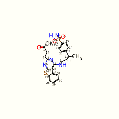 COC(=O)CCc1nc(NCCC(C)c2ccc(S(N)(=O)=O)cc2)c2c(n1)sc1ccccc12